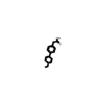 CCc1ccc(-c2ccc(CC(=O)O)cc2)cc1